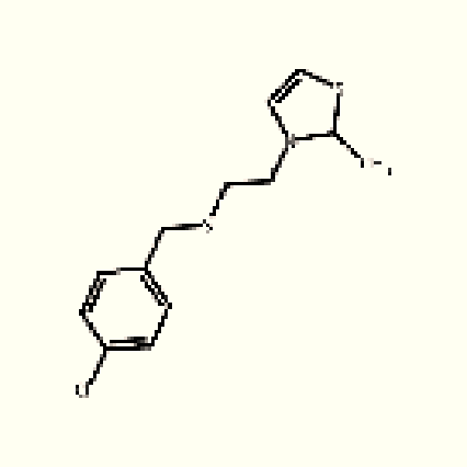 CC1SC=CN1CCSCc1ccc(Cl)cc1